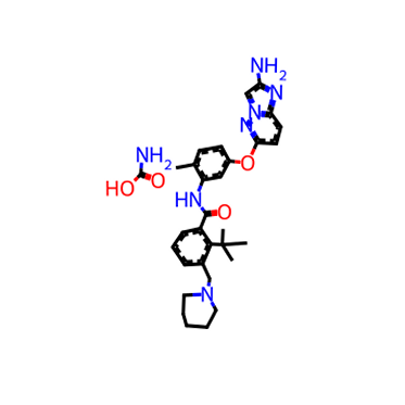 Cc1ccc(Oc2ccc3nc(N)cn3n2)cc1NC(=O)c1cccc(CN2CCCCC2)c1C(C)(C)C.NC(=O)O